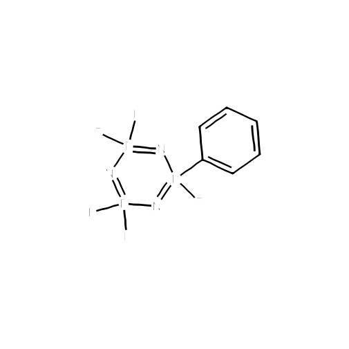 FP1(F)=NP(F)(F)=NP(F)(c2ccccc2)=N1